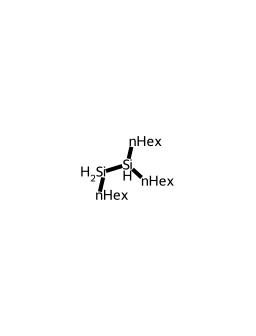 CCCCCC[SiH2][SiH](CCCCCC)CCCCCC